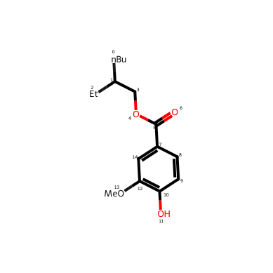 CCCCC(CC)COC(=O)c1ccc(O)c(OC)c1